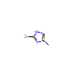 [CH2]Cc1nc(C)c[nH]1